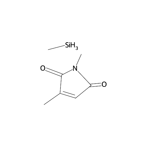 CC1=CC(=O)N(C)C1=O.C[SiH3]